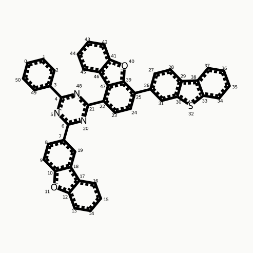 c1ccc(-c2nc(-c3ccc4oc5ccccc5c4c3)nc(-c3ccc(-c4ccc5c(c4)sc4ccccc45)c4oc5ccccc5c34)n2)cc1